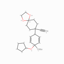 C#CC1(C2C=CC(OC)(OC3CCCC3)C=C2)CCC2(CC1)OCCO2